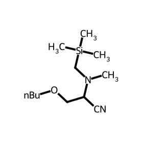 CCCCOCC(C#N)N(C)C[Si](C)(C)C